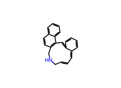 C1=c2/cccc/c2=C\c2c(ccc3ccccc23)CNC/C=C/1